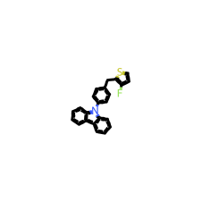 Fc1ccsc1Cc1ccc(-n2c3ccccc3c3ccccc32)cc1